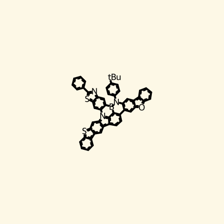 CC(C)(C)c1ccc(N2B3c4cc5nc(-c6ccccc6)sc5cc4-n4c5cc6sc7ccccc7c6cc5c5ccc(c3c54)-c3cc4oc5ccccc5c4cc32)cc1